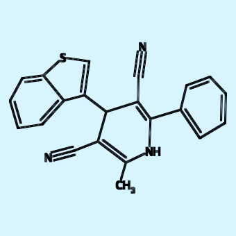 CC1=C(C#N)C(c2csc3ccccc23)C(C#N)=C(c2ccccc2)N1